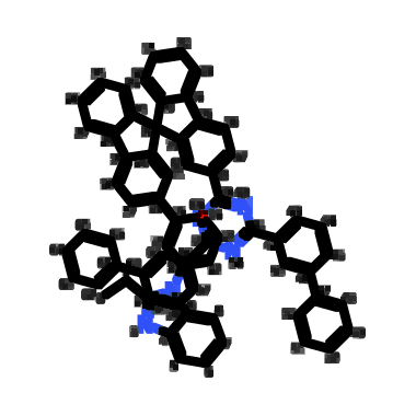 CCc1nc2ccccc2n1-c1cccc(-c2ccc3c(c2)C2(c4ccccc4-3)c3ccccc3-c3ccc(-c4nc(-c5cccc(-c6ccccc6)c5)nc(-c5cccc(-c6ccccc6)c5)n4)cc32)c1